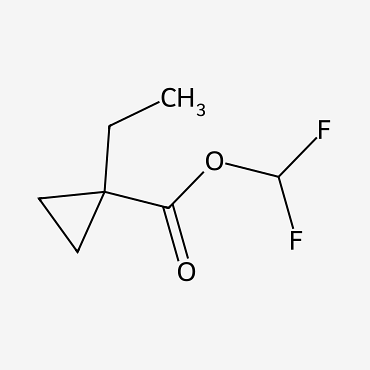 CCC1(C(=O)OC(F)F)CC1